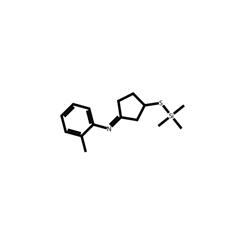 Cc1ccccc1/N=C1\CCC(S[Si](C)(C)C)C1